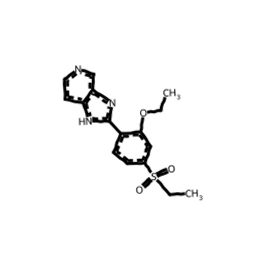 CCOc1cc(S(=O)(=O)CC)ccc1-c1nc2cnccc2[nH]1